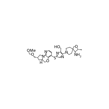 COCOC[C@@H]1C[C@H]2COc3c(Sc4cnc(N5CCC6(CC5)CO[C@@H](C)[C@H]6N)c(CO)n4)ccnc3N2C1